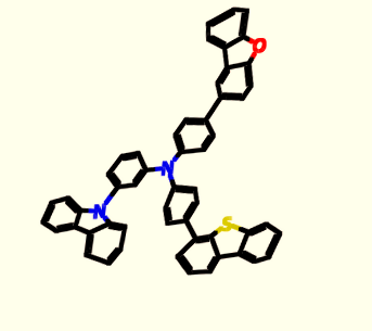 c1cc(N(c2ccc(-c3ccc4oc5ccccc5c4c3)cc2)c2ccc(-c3cccc4c3sc3ccccc34)cc2)cc(-n2c3ccccc3c3ccccc32)c1